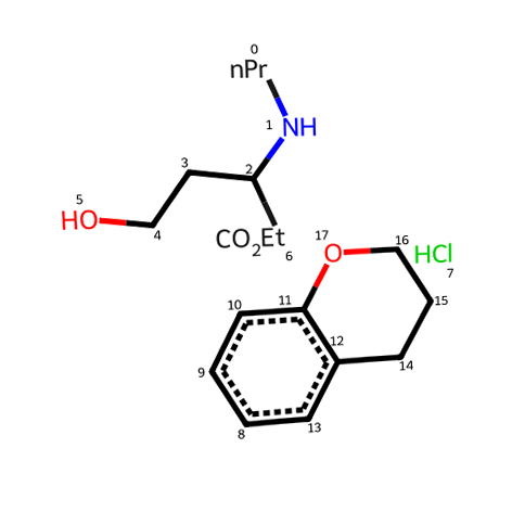 CCCNC(CCO)C(=O)OCC.Cl.c1ccc2c(c1)CCCO2